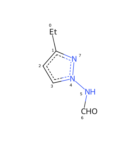 CCc1ccn(NC=O)n1